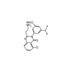 COc1cc(C(F)F)cc(-n2c(CCN)nc3cccc(Cl)c3c2=O)c1